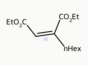 CCCCCC/C(=C/C(=O)OCC)C(=O)OCC